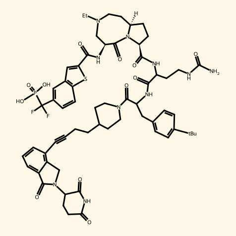 CCN1CC[C@H]2CC[C@@H](C(=O)NC(CCNC(N)=O)C(=O)NC(Cc3ccc(C(C)(C)C)cc3)C(=O)N3CCC(CCC#Cc4cccc5c4CN(C4CCC(=O)NC4=O)C5=O)CC3)N2C(=O)[C@@H](NC(=O)c2cc3cc(C(F)(F)P(=O)(O)O)ccc3s2)C1